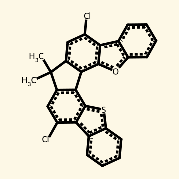 CC1(C)c2cc(Cl)c3c(oc4ccccc43)c2-c2c1cc(Cl)c1c2sc2ccccc21